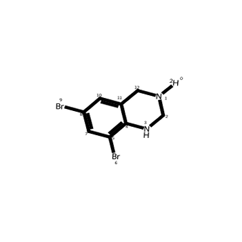 [2H]N1CNc2c(Br)cc(Br)cc2C1